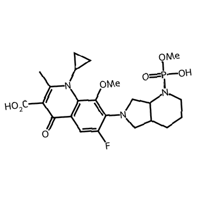 COc1c(N2CC3CCCN(P(=O)(O)OC)C3C2)c(F)cc2c(=O)c(C(=O)O)c(C)n(C3CC3)c12